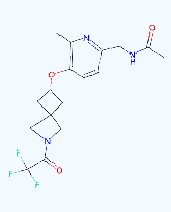 CC(=O)NCc1ccc(OC2CC3(C2)CN(C(=O)C(F)(F)F)C3)c(C)n1